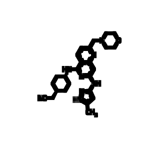 Cc1cc(Nc2cc3nc(CN4CCOCC4)ccc3c(N[C@H]3CC[C@H](CC#N)CC3)n2)n[nH]1